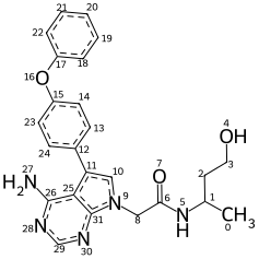 CC(CCO)NC(=O)Cn1cc(-c2ccc(Oc3ccccc3)cc2)c2c(N)ncnc21